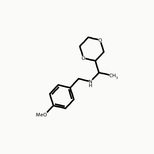 COc1ccc(CNC(C)C2COCCO2)cc1